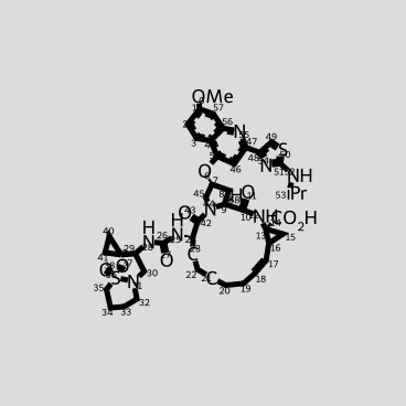 COc1ccc2c(O[C@@H]3C[C@H]4C(=O)N[C@]5(C(=O)O)CC5/C=C\CCCCC[C@H](NC(=O)NC(CN5CCCCS5(=O)=O)C5CC5)C(=O)N4C3)cc(-c3csc(NC(C)C)n3)nc2c1